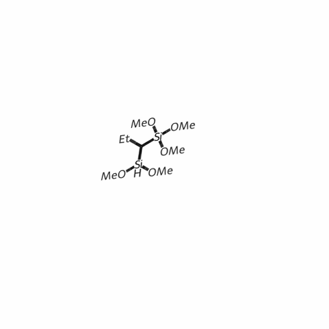 CCC([SiH](OC)OC)[Si](OC)(OC)OC